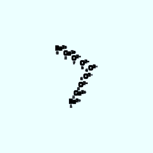 [Ba+2].[Ba+2].[Ga+3].[Ga+3].[O-2].[O-2].[O-2].[O-2].[O-2]